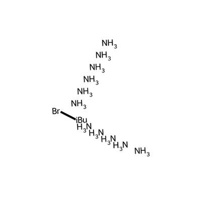 CCC(C)Br.N.N.N.N.N.N.N.N.N.N.N